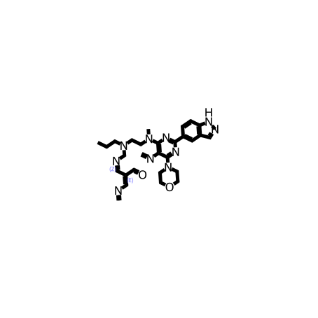 C=N/C=C(C=O)\C=N/CN(CCC)CCN(C)c1nc(-c2ccc3[nH]ncc3c2)nc(N2CCOCC2)c1N=C